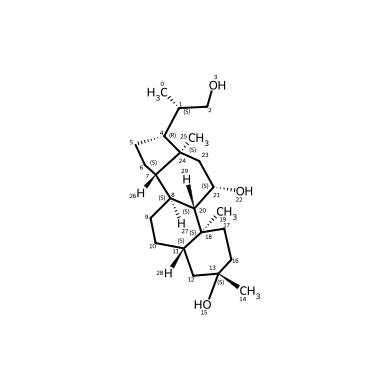 C[C@H](CO)[C@H]1CC[C@H]2[C@@H]3CC[C@H]4C[C@@](C)(O)CC[C@]4(C)[C@H]3[C@@H](O)C[C@]12C